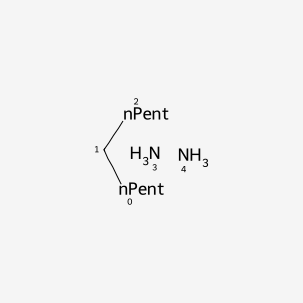 CCCCCCCCCCC.N.N